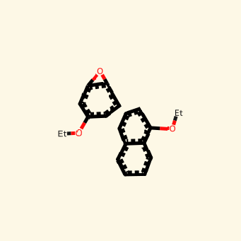 CCOc1ccc2c(c1)O2.CCOc1cccc2ccccc12